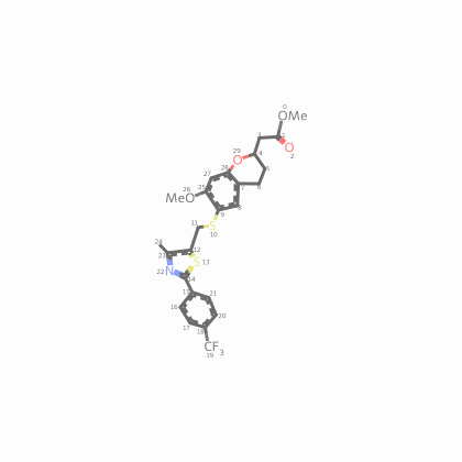 COC(=O)CC1CCc2cc(SCc3sc(-c4ccc(C(F)(F)F)cc4)nc3C)c(OC)cc2O1